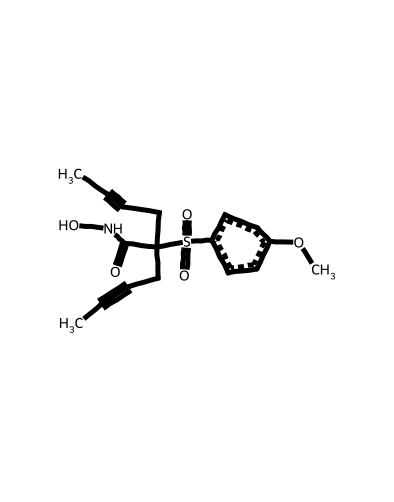 CC#CCC(CC#CC)(C(=O)NO)S(=O)(=O)c1ccc(OC)cc1